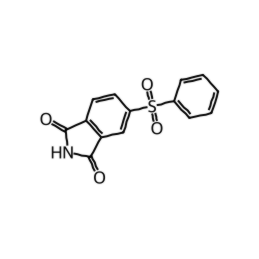 O=C1NC(=O)c2cc(S(=O)(=O)c3ccccc3)ccc21